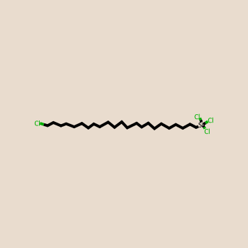 ClCCCCCCCCCCCCCCCCCCCCCCC[Si](Cl)(Cl)Cl